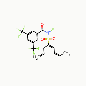 C=CC/C(=C\C=C/C)S(=O)(=O)N(F)C(=O)c1cc(C(F)(F)F)cc(C(F)(F)F)c1